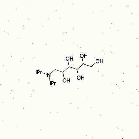 CC(C)N(CC(O)C(O)C(O)C(O)CO)C(C)C